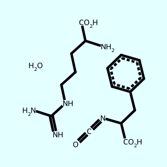 N=C(N)NCCCC(N)C(=O)O.O.O=C=NC(Cc1ccccc1)C(=O)O